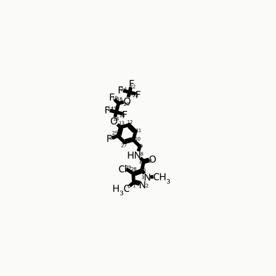 Cc1nn(C)c(C(=O)NCc2ccc(OC(F)(F)C(F)OC(F)(F)F)c(F)c2)c1Cl